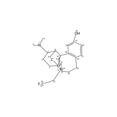 CN(C)C1CCC23CCC1C21CCCN(CC(F)(F)F)C3CCc2ccc(O)cc21